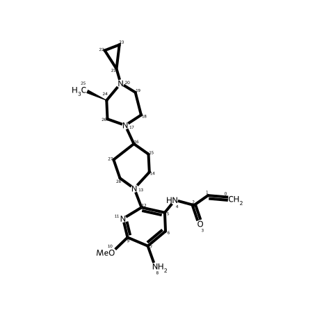 C=CC(=O)Nc1cc(N)c(OC)nc1N1CCC(N2CCN(C3CC3)[C@H](C)C2)CC1